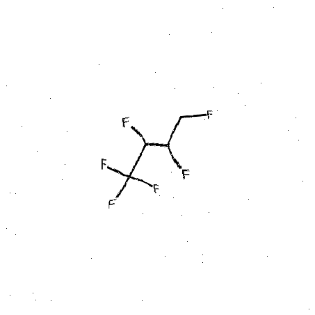 FCC(F)C(F)C(F)(F)F